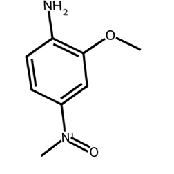 COc1cc([N+](C)=O)ccc1N